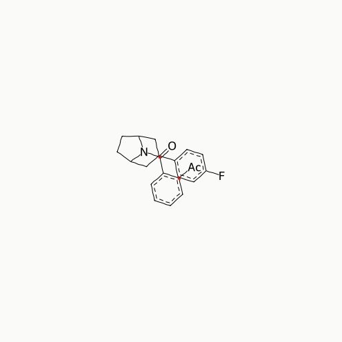 CC(=O)c1ccccc1C(=O)N1C2CCC1CC(c1ccc(F)cc1)C2